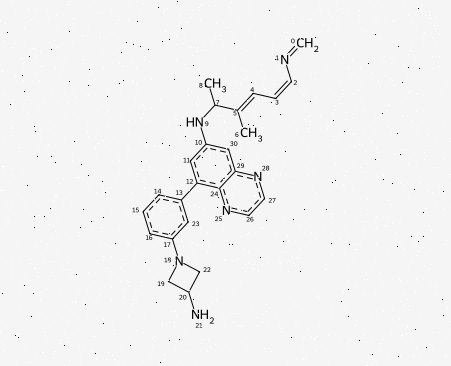 C=N/C=C\C=C(/C)C(C)Nc1cc(-c2cccc(N3CC(N)C3)c2)c2nccnc2c1